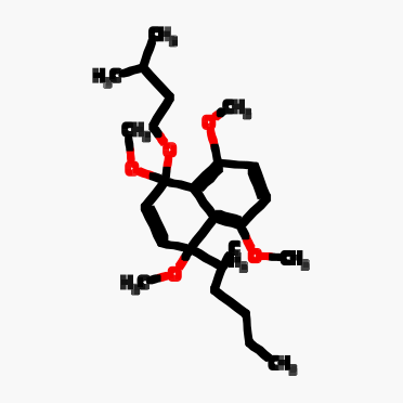 CCCCC(C)C1(OC)C=CC(OC)(OCCC(C)C)c2c(OC)ccc(OC)c21